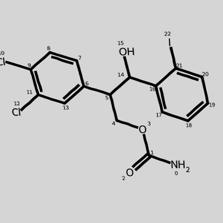 NC(=O)OCC(c1ccc(Cl)c(Cl)c1)C(O)c1ccccc1I